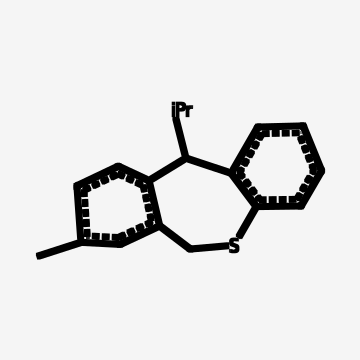 Cc1ccc2c(c1)CSc1ccccc1C2C(C)C